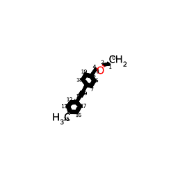 C=CCOCc1ccc(C#Cc2ccc(C)cc2)cc1